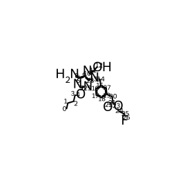 CCCCOc1nc(N)c2nc(O)n(Cc3cccc(CC(=O)OCCF)c3)c2n1